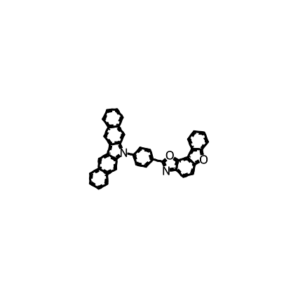 c1ccc2cc3c(cc2c1)c1cc2ccccc2cc1n3-c1ccc(-c2nc3ccc4oc5ccccc5c4c3o2)cc1